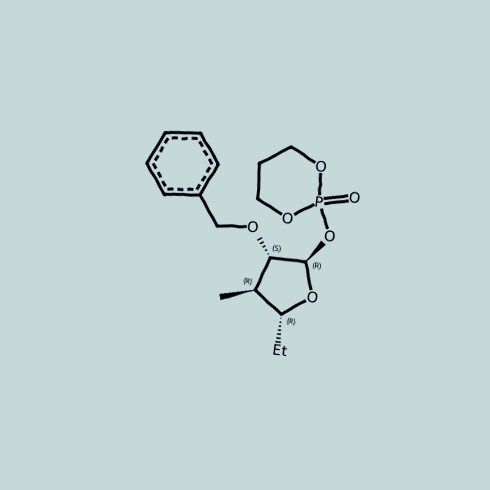 CC[C@H]1O[C@H](OP2(=O)OCCCO2)[C@@H](OCc2ccccc2)[C@@H]1C